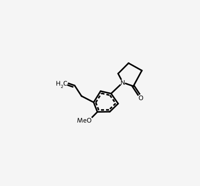 C=CCc1cc(N2CCCC2=O)ccc1OC